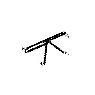 CCCCCCCCCCCCCCCCCCOCC(COCCCCCCCCCCCCCCCCCC)OP(OC(COCCCCCCCCCCCCCCCCCC)COCCCCCCCCCCCCCCCCCC)OC(COCCCCCCCCCCCCCCCCCC)COCCCCCCCCCCCCCCCCCC